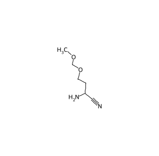 COCOCCC(N)C#N